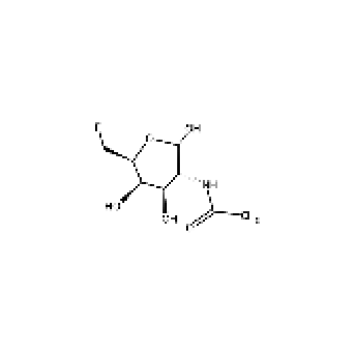 CC(=O)N[C@@H]1[C@@H](O)[C@@H](O)[C@@H](CF)O[C@@H]1O